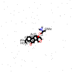 COCC(CO[C@H]1[C@H](OC(C)=O)C[C@@]23COC[C@@]1(C)[C@@H]2CC[C@H]1C3=CC(=O)[C@@]2(C)[C@H](C(=O)O)[C@@](C)([C@H](C)C(C)C)CC[C@]12C)N(C)C